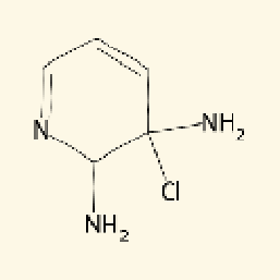 NC1N=CC=CC1(N)Cl